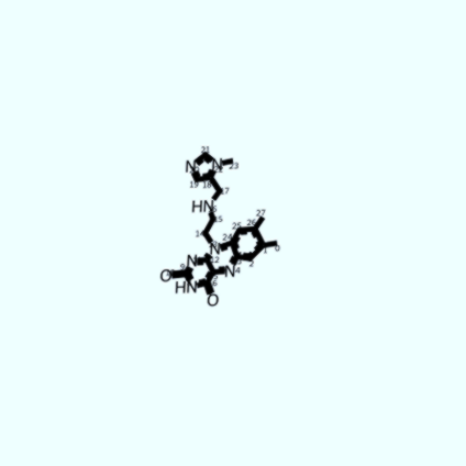 Cc1cc2nc3c(=O)[nH]c(=O)nc-3n(CCNCc3cncn3C)c2cc1C